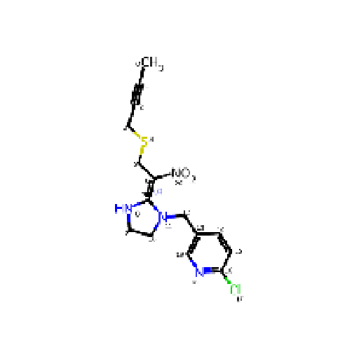 CC#CCSC/C(=C1\NCCN1Cc1ccc(Cl)nc1)[N+](=O)[O-]